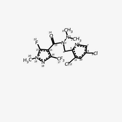 CN(C)N(Cc1ncc(Cl)cc1Cl)C(=O)c1c(C(F)(F)F)nn(C)c1F